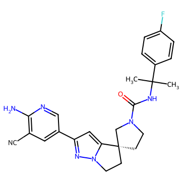 CC(C)(NC(=O)N1CC[C@@]2(CCn3nc(-c4cnc(N)c(C#N)c4)cc32)C1)c1ccc(F)cc1